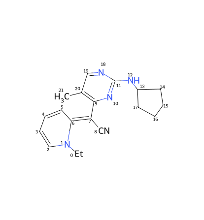 CCN1C=CC=CC1=C(C#N)c1nc(NC2CCCC2)ncc1C